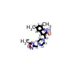 Cc1cc(C)c2[nH]c(=O)c(CN3CCN(Cc4noc(C)n4)CC3)cc2c1